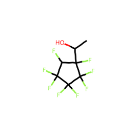 CC(O)C1(F)C(F)C(F)(F)C(F)(F)C1(F)F